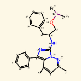 Cc1cc(C)c2c(-c3ccccc3)nc(NC(COP(C(C)C)C(C)C)Cc3ccccc3)n2n1